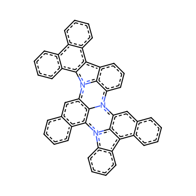 c1ccc2c(c1)cc1c3c2c2ccccc2n3c2c3c(cc4ccccc42)n2c4c5ccccc5c5ccccc5c4c4cccc(c42)n1-3